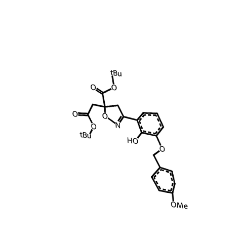 COc1ccc(COc2cccc(C3=NOC(CC(=O)OC(C)(C)C)(C(=O)OC(C)(C)C)C3)c2O)cc1